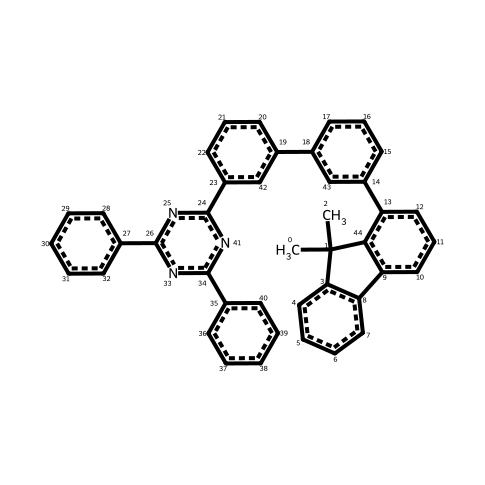 CC1(C)c2ccccc2-c2cccc(-c3cccc(-c4cccc(-c5nc(-c6ccccc6)nc(-c6ccccc6)n5)c4)c3)c21